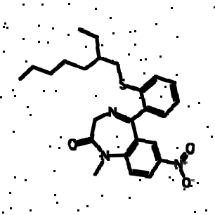 CCCCCC(CC)CSc1ccccc1C1=NCC(=O)N(C)c2ccc([N+](=O)[O-])cc21